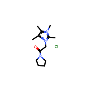 Cc1c(C)[n+](CC(=O)N2CCCC2)c(C)n1C.[Cl-]